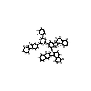 c1ccc(-c2nc(-c3ccc4c(c3)sc3ccccc34)nc(-c3cc(-n4c5cc6ccccc6cc5c5c6ccccc6ccc54)c4oc5c6ccccc6ccc5c4c3)n2)cc1